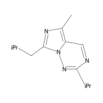 Cc1nc(CC(C)C)n2nc(C(C)C)ncc12